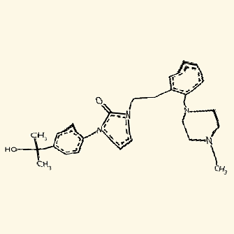 CN1CCN(c2ccccc2CCn2ccn(-c3ccc(C(C)(C)O)cc3)c2=O)CC1